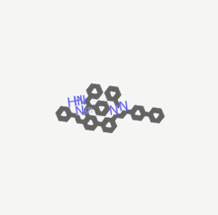 N=C(/C(=C1\NC(c2ccccc2)=Cc2ccc(-c3cccc(-c4cc(-c5ccc(-c6ccccc6)cc5)nc(-c5ccccc5)n4)c3)cc21)c1ccccc1)c1ccccc1